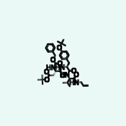 C=CCNC(=O)[C@@H](NC(=O)[C@H](Cc1ccc(OC(C)(C)C)cc1)NC(=O)[C@H](CC(=O)OC(C)(C)C)NC(=O)OCc1ccccc1)C(C)C